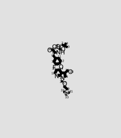 CC(C)(C)OC(=O)N[C@@H](Cc1ccc(Oc2ccnc3c2c(C=O)cn3COCC[Si](C)(C)C)c(F)c1)C(=O)O